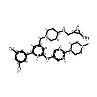 CN1CCN(c2ncc(Oc3cc(CN4CCC(OCC5OC5O)CC4)cc(-c4cc(Cl)cc(Cl)c4)n3)cn2)CC1